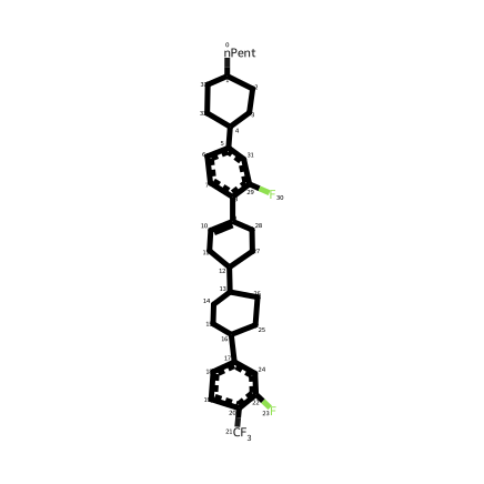 CCCCCC1CCC(c2ccc(C3=CCC(C4CCC(c5ccc(C(F)(F)F)c(F)c5)CC4)CC3)c(F)c2)CC1